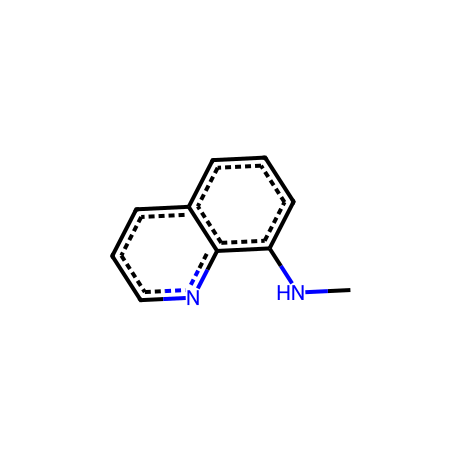 CNc1cccc2cccnc12